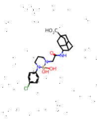 O=C(CN1CCCN(c2ccc(Cl)cc2)S1(O)O)NC1C2CC3CC1CC(C(=O)O)(C3)C2